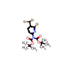 CC(C)(C)OC(=O)N(C(=O)OC(C)(C)C)c1ccc(C(Br)Br)c(Br)n1